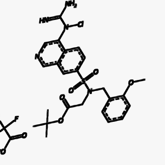 COc1ccccc1CN(CC(=O)OC(C)(C)C)S(=O)(=O)c1ccc2c(N(Cl)C(=N)N)cncc2c1.O=C(O)C(F)(F)F